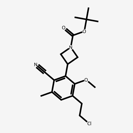 COc1c(CCCl)cc(C)c(C#N)c1C1CN(C(=O)OC(C)(C)C)C1